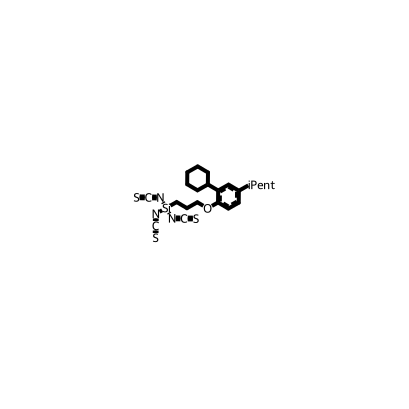 CCCC(C)c1ccc(OCCC[Si](N=C=S)(N=C=S)N=C=S)c(C2CCCCC2)c1